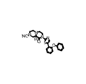 N#CN1CCN2CCN(c3ncc(-c4ccccc4Oc4ccccc4)s3)C(=O)[C@@H]2C1